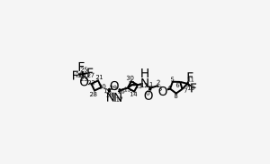 O=C(COC1CC2C(C1)C2(F)F)NC12CC(c3nnc([C@H]4C[C@@H](OC(F)(F)F)C4)o3)(C1)C2